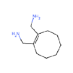 NCC1=C(CN)CCCCCC1